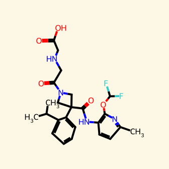 Cc1ccc(NC(=O)C2(c3ccccc3C(C)C)CN(C(=O)CNCC(=O)O)C2)c(OC(F)F)n1